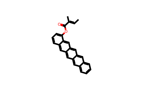 CC=C(C)C(=O)Oc1cccc2cc3cc4cc5ccccc5cc4cc3cc12